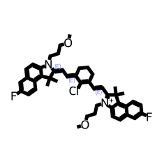 COCCCN1/C(=C/C=C2\CCCC(/C=C/C3=[N+](CCCOC)c4ccc5cc(F)ccc5c4C3(C)C)=C2Cl)C(C)(C)c2c1ccc1cc(F)ccc21